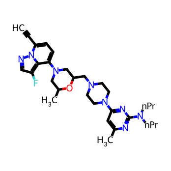 C#Cc1ccc(N2CC(C)OC(CN3CCN(c4cc(C)nc(N(CCC)CCC)n4)CC3)C2)c2c(F)cnn12